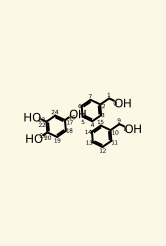 OCc1ccccc1.OCc1ccccc1.Oc1ccc(O)c(O)c1